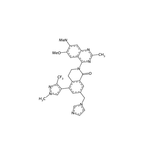 CNc1cc2nc(C)nc(N3CCc4c(cc(Cn5ccnc5)cc4-c4cn(C)nc4C(F)(F)F)C3=O)c2cc1OC